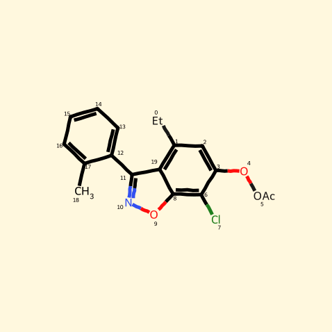 CCc1cc(OOC(C)=O)c(Cl)c2onc(-c3ccccc3C)c12